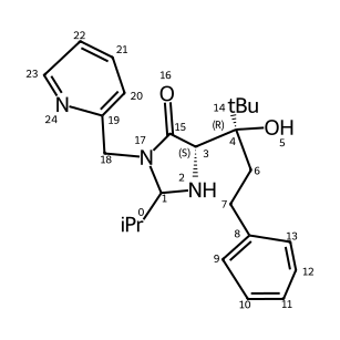 CC(C)C1N[C@@H]([C@@](O)(CCc2ccccc2)C(C)(C)C)C(=O)N1Cc1ccccn1